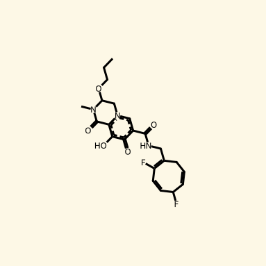 CCCOC1Cn2cc(C(=O)NC/C3=C(\F)C=CC(F)C=CC3)c(=O)c(O)c2C(=O)N1C